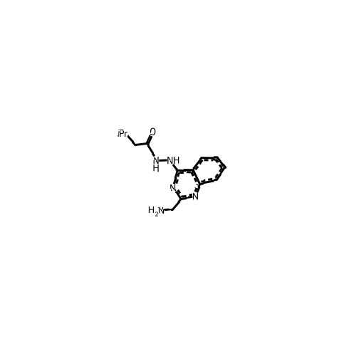 CC(C)CC(=O)NNc1nc(CN)nc2ccccc12